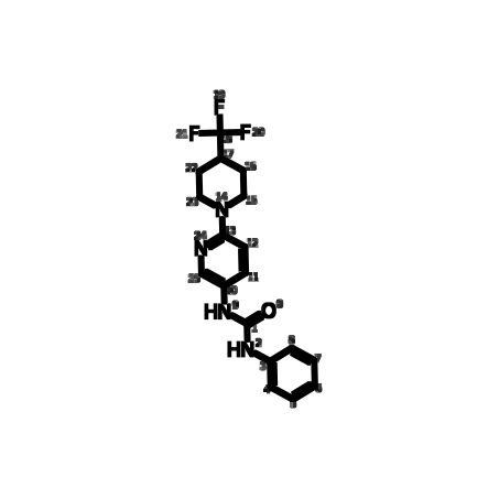 O=C(Nc1ccccc1)Nc1ccc(N2CCC(C(F)(F)F)CC2)nc1